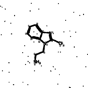 NCCn1c(C(F)(F)F)nc2ccccc21